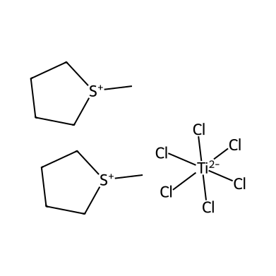 C[S+]1CCCC1.C[S+]1CCCC1.[Cl][Ti-2]([Cl])([Cl])([Cl])([Cl])[Cl]